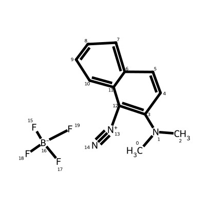 CN(C)c1ccc2ccccc2c1[N+]#N.F[B-](F)(F)F